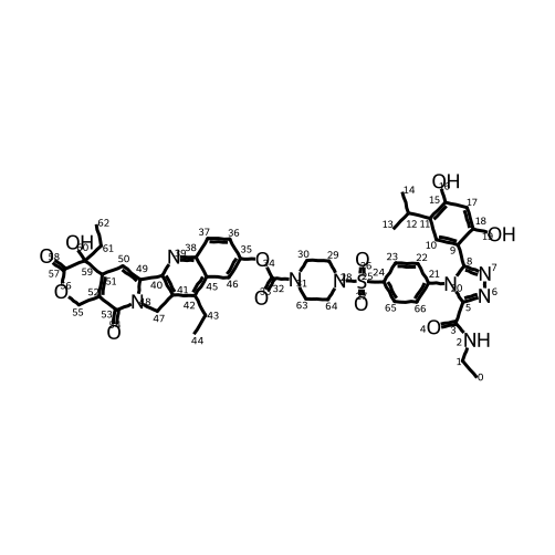 CCNC(=O)c1nnc(-c2cc(C(C)C)c(O)cc2O)n1-c1ccc(S(=O)(=O)N2CCN(C(=O)Oc3ccc4nc5c(c(CC)c4c3)Cn3c-5cc4c(c3=O)COC(=O)C4(O)CC)CC2)cc1